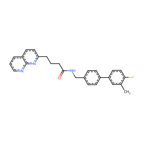 Cc1cc(-c2ccc(CNC(=O)CCCc3ccc4cccnc4n3)cc2)ccc1F